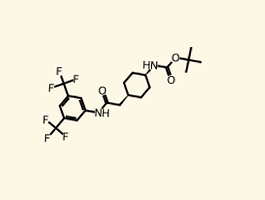 CC(C)(C)OC(=O)N[C@H]1CC[C@@H](CC(=O)Nc2cc(C(F)(F)F)cc(C(F)(F)F)c2)CC1